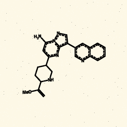 C=C(OC)C1CCC(c2cc(N)n3ncc(-c4cnc5ccccc5c4)c3n2)CN1